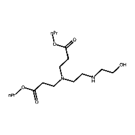 CCCOC(=O)CCN(CCNCCO)CCC(=O)OCCC